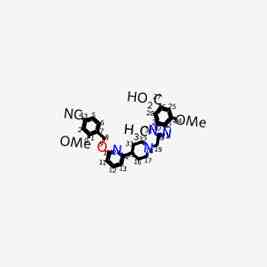 COc1cc(C#N)ccc1COc1cccc(C2CCN(Cc3nc4c(OC)cc(C(=O)O)cc4n3C)CC2)n1